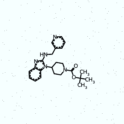 CC(C)(C)OC(=O)N1CCC(n2c(NCc3cccnc3)nc3ccccc32)CC1